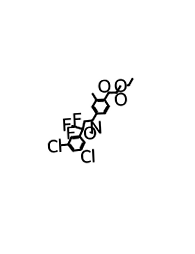 CCOC(=O)C(=O)c1ccc(C2=NOC(c3cc(Cl)cc(Cl)c3)(C(F)(F)F)C2)cc1C